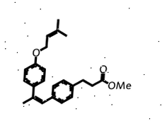 COC(=O)CCc1ccc(C=C(C)c2ccc(OCC=C(C)C)cc2)cc1